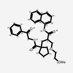 COCCOCC(CC1(C(=O)OCC(=O)c2ccccc2)CCCC1)C(=O)Oc1cccc2ccccc12